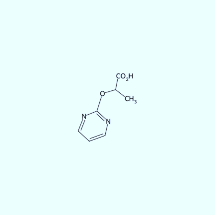 CC(Oc1ncccn1)C(=O)O